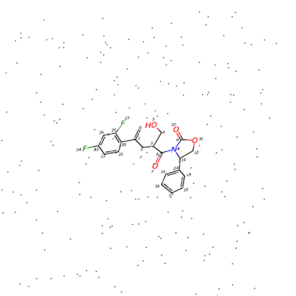 C=C(CC(CO)C(=O)N1C(=O)OCC1c1ccccc1)c1ccc(F)cc1F